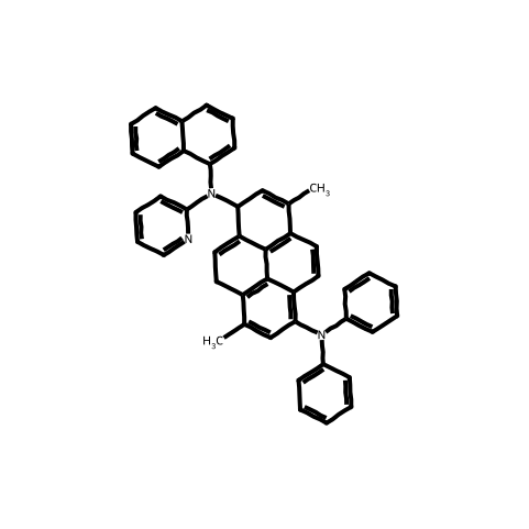 CC1=CC(N(c2ccccn2)c2cccc3ccccc23)C2=CCc3c(C)cc(N(c4ccccc4)c4ccccc4)c4ccc1c2c34